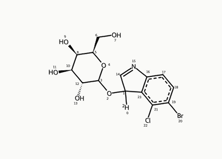 [2H]C1(OC2O[C@H](CO)[C@H](O)[C@H](O)[C@H]2O)C=Nc2ccc(Br)c(Cl)c21